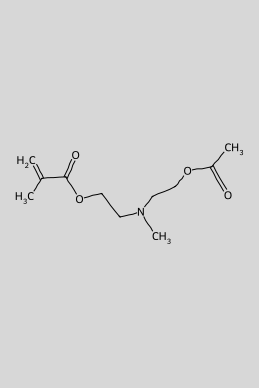 C=C(C)C(=O)OCCN(C)CCOC(C)=O